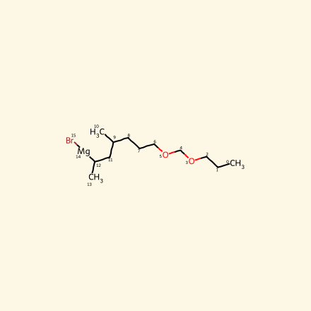 CCCOCOCCCC(C)C[CH](C)[Mg][Br]